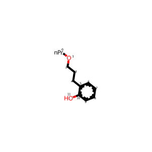 CCCOCCCc1ccccc1O